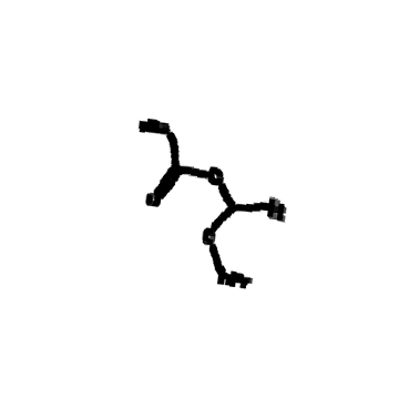 CCCCC(=O)OC(CC)OCCC